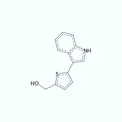 OCc1ccc(-c2c[nH]c3ccccc23)s1